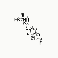 N=C(N)NCCOc1ccc(OCCF)c(Cl)c1